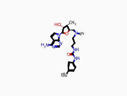 CC(C)N(CCCNC(=O)Nc1ccc(C(C)(C)C)cc1)C[C@H]1O[C@@H](n2ccc3c(N)ncnc32)[C@H](O)[C@@H]1C